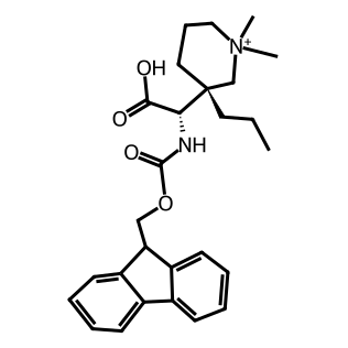 CCC[C@@]1([C@H](NC(=O)OCC2c3ccccc3-c3ccccc32)C(=O)O)CCC[N+](C)(C)C1